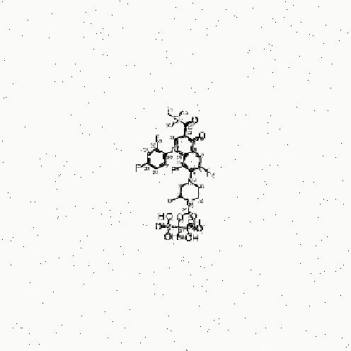 CC1CN(c2c(F)cc3c(=O)c(C(=O)[Si](C)(C)C)cn(-c4ccc(F)cc4F)c3c2F)CCN1C(=O)OC(C)(P(=O)(O)O)P(=O)(O)O